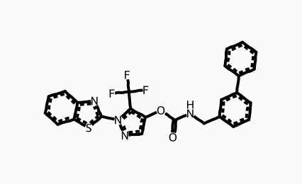 O=C(NCc1cccc(-c2ccccc2)c1)Oc1cnn(-c2nc3ccccc3s2)c1C(F)(F)F